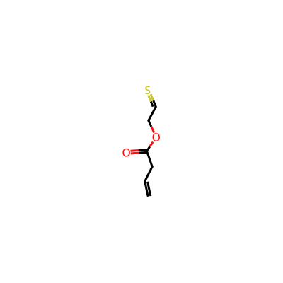 C=CCC(=O)OCC=S